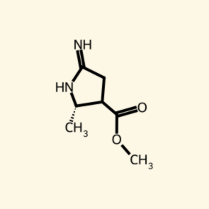 COC(=O)C1CC(=N)N[C@H]1C